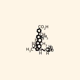 C=C(C)[C@@H]1CC[C@]2(NCCN3C[C@H]4C[C@@H]3CS4(=O)=O)CC[C@]3(C)[C@H](CC[C@@H]4[C@@]5(C)CC=C(c6ccc(C(=O)O)cc6)C(C)(C)[C@@H]5CC[C@]43C)[C@@H]12